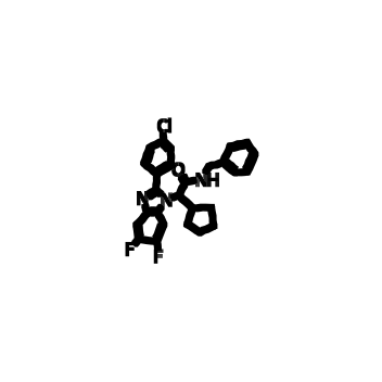 O=C(NCc1ccccc1)C(C1CCCC1)n1c(-c2ccc(Cl)cc2)nc2cc(F)c(F)cc21